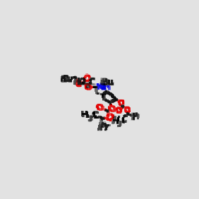 CCC(C)N[C@@](Cc1ccc(OC(=O)OC(C)C(C)C)c(OC(=O)OC(C)C(C)C)c1)(OC(=O)OCC(C)(C)C)C(=O)O